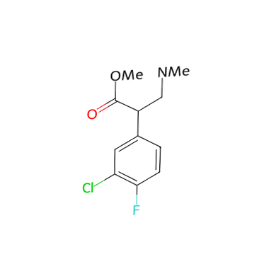 CNCC(C(=O)OC)c1ccc(F)c(Cl)c1